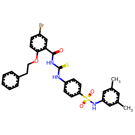 Cc1cc(C)cc(NS(=O)(=O)c2ccc(NC(=S)NC(=O)c3cc(Br)ccc3OCCc3ccccc3)cc2)c1